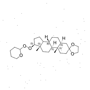 C[C@]12CCC3(C[C@@H]1CC[C@H]1C4CC[C@H](OOC5CCCCO5)[C@@]4(C)CC[C@@H]12)OCCO3